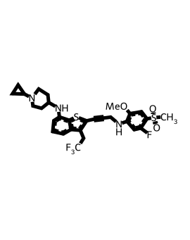 COc1cc(S(C)(=O)=O)c(F)cc1NCC#Cc1sc2c(NC3CCN(C4CC4)CC3)cccc2c1CC(F)(F)F